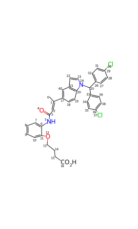 C/C(=C\C(=O)Nc1ccccc1OCCCC(=O)O)c1ccc2c(ccn2C(c2ccc(Cl)cc2)c2ccc(Cl)cc2)c1